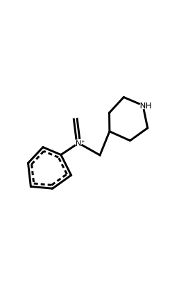 C=[N+](CC1CCNCC1)c1ccccc1